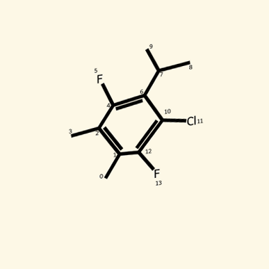 Cc1c(C)c(F)c(C(C)C)c(Cl)c1F